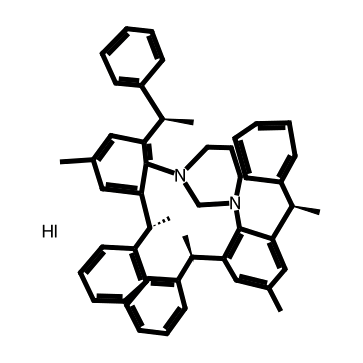 Cc1cc([C@H](C)c2ccccc2)c(N2CCCN(c3c([C@H](C)c4ccccc4)cc(C)cc3[C@H](C)c3ccccc3)C2)c([C@H](C)c2ccccc2)c1.I